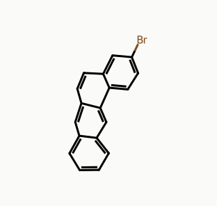 Brc1ccc2c(ccc3cc4ccccc4cc32)c1